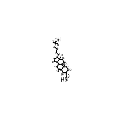 CC(C)(O)CCCCC1CCC2C3CC=C4CC(OS)CCC4(C)C3CCC12C